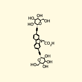 O=C(O)Cn1c2cc(C#C[C@H]3O[C@H](CO)[C@@H](O)[C@H](O)[C@H]3O)ccc2c2ccc(C#C[C@H]3O[C@H](CO)[C@@H](O)[C@H](O)[C@H]3O)cc21